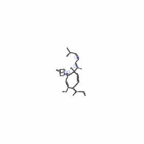 C/B=C1/C=C(CC)C(C(C)CC)C=CC1(C)/C(C)=C/C=C\C(C)C